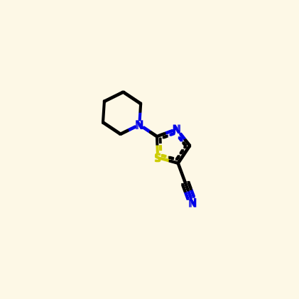 N#Cc1cnc(N2CCCCC2)s1